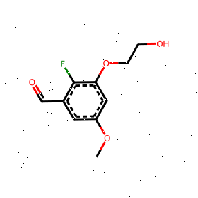 COc1cc(C=O)c(F)c(OCCO)c1